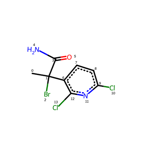 CC(Br)(C(N)=O)c1ccc(Cl)nc1Cl